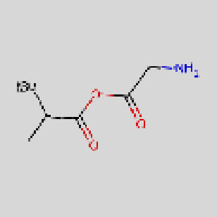 CC(C(=O)OC(=O)CN)C(C)(C)C